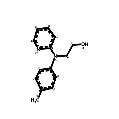 Cc1ccc(N(CCO)c2ccccn2)cc1